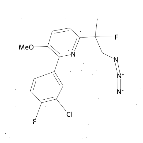 COc1ccc(C(C)(F)CN=[N+]=[N-])nc1-c1ccc(F)c(Cl)c1